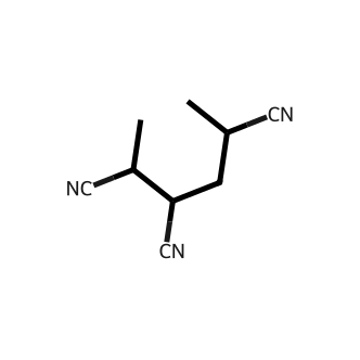 CC(C#N)CC(C#N)C(C)C#N